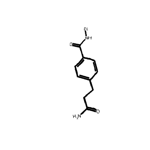 CCNC(=O)c1ccc(CCC(N)=O)cc1